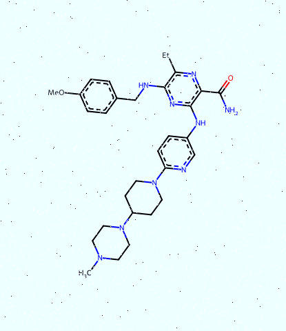 CCc1nc(C(N)=O)c(Nc2ccc(N3CCC(N4CCN(C)CC4)CC3)nc2)nc1NCc1ccc(OC)cc1